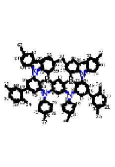 Cc1ccc(N2c3cc4c(cc3B3c5c2cc(-c2cc(C)ccc2C)cc5-n2c5ccc(C)cc5c5cc(C)cc3c52)B2c3c(cc(-c5cc(C)ccc5C)cc3-n3c5ccc(C)cc5c5cc(C)cc2c53)N4c2ccc(C)cc2)cc1